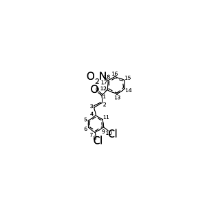 O=C(/C=C/c1ccc(Cl)c(Cl)c1)c1ccccc1[N+](=O)[O-]